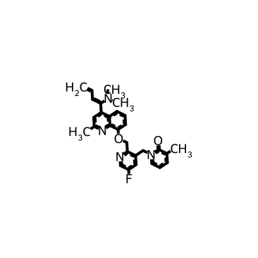 C=C/C=C(/c1cc(C)nc2c(OCc3ncc(F)cc3Cn3cccc(C)c3=O)cccc12)N(C)C